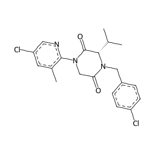 Cc1cc(Cl)cnc1N1CC(=O)N(Cc2ccc(Cl)cc2)[C@@H](C(C)C)C1=O